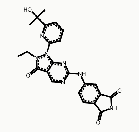 CCn1c(=O)c2cnc(Nc3ccc4c(c3)C(=O)NC4=O)nc2n1-c1cccc(C(C)(C)O)n1